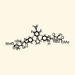 CCCCN(C(=O)C(NC(=O)OC)C(C)C)c1nc2ccc([C@H]3CC[C@H](c4ccc5nc(N(CCCC)C(=O)[C@@H](NC(=O)OC)C(C)C)[nH]c5c4)N3c3cc(F)c(C4CC4)c(F)c3)cc2[nH]1